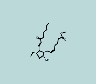 CCCCCC(=O)/C=C/[C@H]1[C@H](CF)C[C@H](O)[C@@H]1C/C=C\CCCC(=O)OC